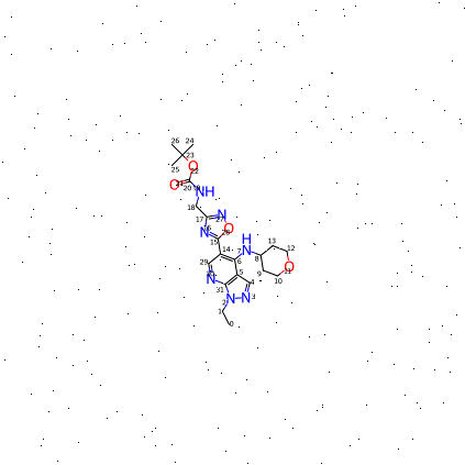 CCn1ncc2c(NC3CCOCC3)c(-c3nc(CNC(=O)OC(C)(C)C)no3)cnc21